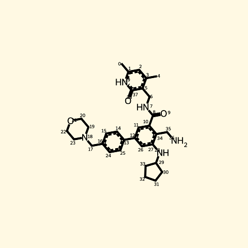 Cc1cc(C)c(CNC(=O)c2cc(-c3ccc(CN4CCOCC4)cc3)cc(NC3CCCC3)c2CN)c(=O)[nH]1